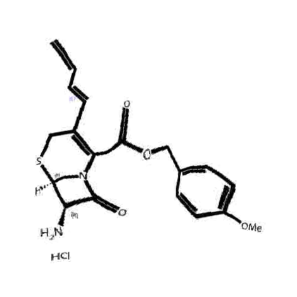 C=C/C=C/C1=C(C(=O)OCc2ccc(OC)cc2)N2C(=O)[C@@H](N)[C@H]2SC1.Cl